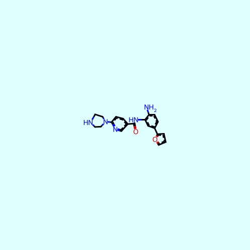 Nc1ccc(-c2ccco2)cc1NC(=O)c1ccc(N2CCNCC2)nc1